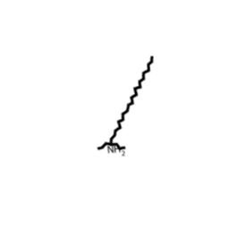 CCCCCCCCCCCCCCCCCCCCCC(N)(CCC)CCC